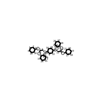 c1ccc(OC(C[SiH2]c2ccc([SiH2]CC(Oc3ccccc3)Oc3ccccc3)cc2)Oc2ccccc2)cc1